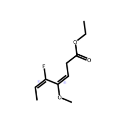 C/C=C(F)\C(=C/CC(=O)OCC)OC